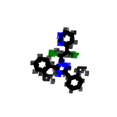 FC(F)(F)c1ccccc1-c1nc(-c2ccccc2C(F)(F)F)n(C(Br)C(Br)c2cccnn2)n1